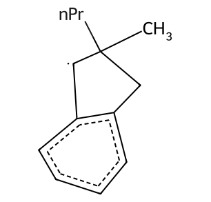 CCCC1(C)[CH]c2ccccc2C1